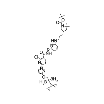 BC(B)(COc1ccn(-c2ccc(C(=O)NSc3cccc(NCCCC4CN(C(=O)OC(C)(C)C)C(C)(C)C4)n3)c(Cl)n2)n1)C1C2(CC2)C12CC2